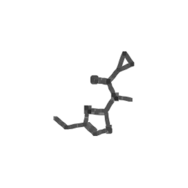 CCc1csc(N(C)C(=O)C2CC2)n1